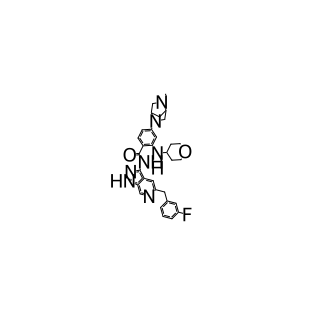 CN1CC2CC1CN2c1ccc(C(=O)Nc2n[nH]c3cnc(Cc4cccc(F)c4)cc23)c(NC2CCOCC2)c1